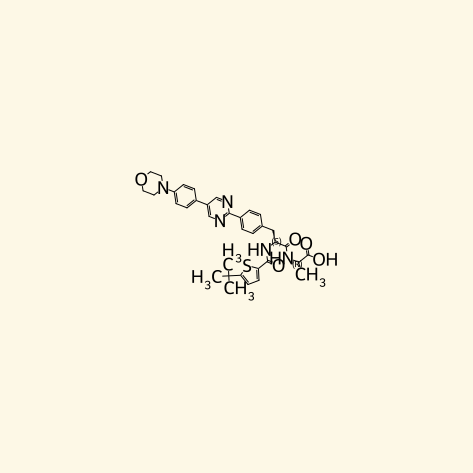 C[C@@H](NC(=O)[C@H](Cc1ccc(-c2ncc(-c3ccc(N4CCOCC4)cc3)cn2)cc1)NC(=O)c1ccc(C(C)(C)C)s1)C(=O)O